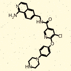 Nc1nccc2cc(CNC(=O)c3cnc(Oc4ccc(N5CCNCC5)cc4)c(Cl)c3)ccc12